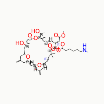 C=C1CC2C[C@@H](O)CC(=O)O[C@@H]([C@@H](C)O)C[C@@H]3C/C(=C\C(=O)OC)[C@H](OC(=O)CCCCCNC)[C@@](O)(O3)C(C)(C)/C=C/[C@H]3CC(=C)C[C@@H](C[C@@H](C1)O2)O3